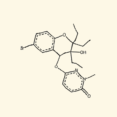 CCC1(CC)Oc2ccc(Br)cc2C(Oc2ccc(=O)n(C)n2)C1(O)CC